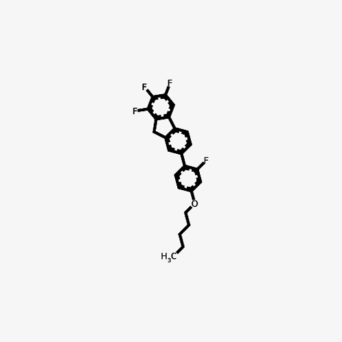 CCCCCOc1ccc(-c2ccc3c(c2)Cc2c-3cc(F)c(F)c2F)c(F)c1